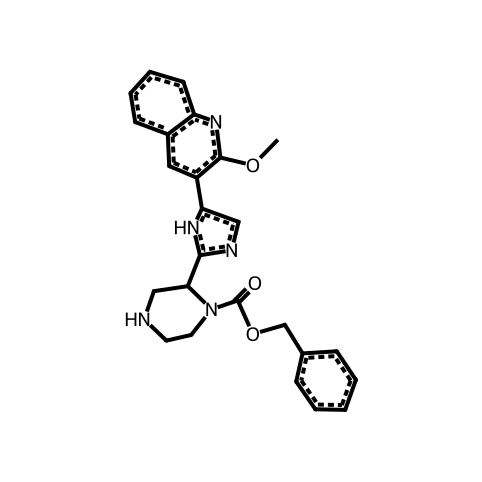 COc1nc2ccccc2cc1-c1cnc(C2CNCCN2C(=O)OCc2ccccc2)[nH]1